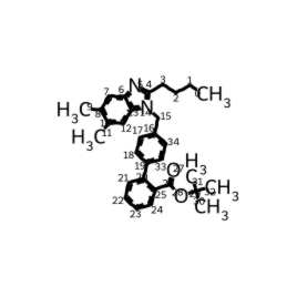 CCCCc1nc2cc(C)c(C)cc2n1Cc1ccc(-c2ccccc2C(=O)OC(C)(C)C)cc1